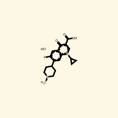 CN1CCC(c2cc3c(cc2F)c(=O)c(C(=O)O)cn3C2CC2)CC1.Cl